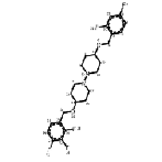 Fc1ccc(COC2CCN(N3CCC(OCc4ccc(F)c(F)c4F)CC3)CC2)c(F)c1